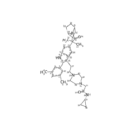 Cc1cc(C)cc(-c2[nH]c3sc(C(C)(C)C(=O)N4C5CCC4CC5)cc3c2CCN2CCN(CC(=O)NC3CC3)CC2)c1